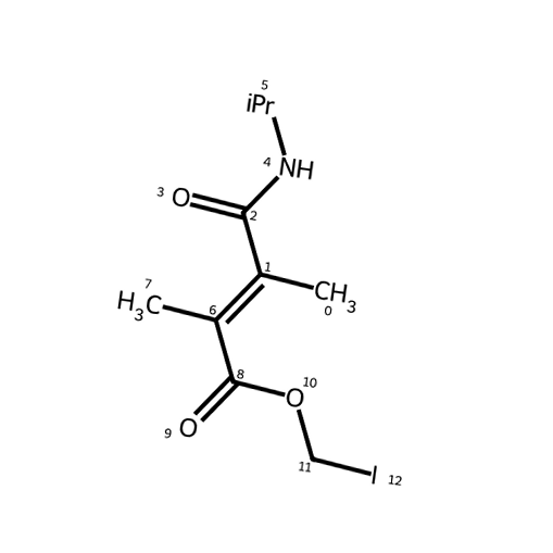 C/C(C(=O)NC(C)C)=C(/C)C(=O)OCI